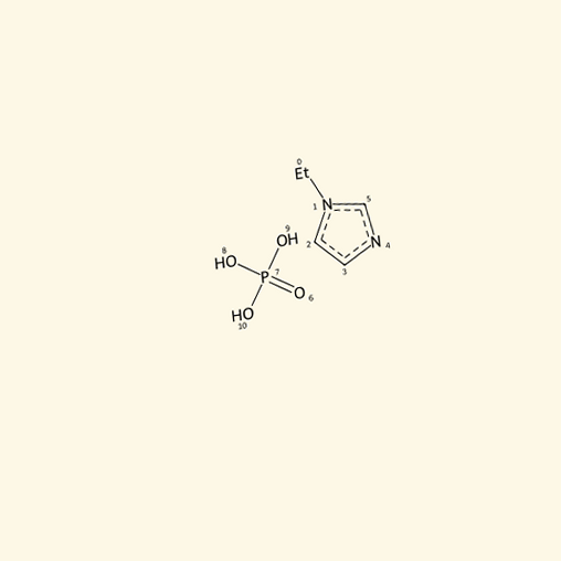 CCn1ccnc1.O=P(O)(O)O